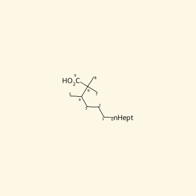 CCCCCCCCCCC(C)C(C)(C)C(=O)O